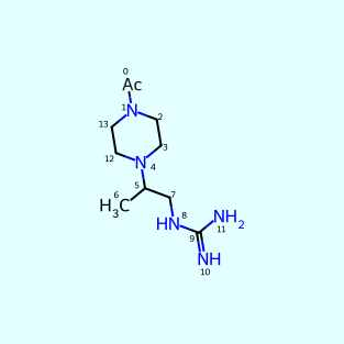 CC(=O)N1CCN(C(C)CNC(=N)N)CC1